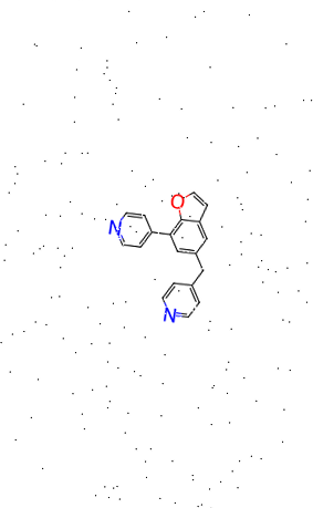 c1cc(Cc2cc(-c3ccncc3)c3occc3c2)ccn1